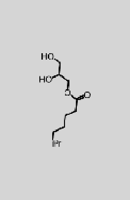 CC(C)CCCCC(=O)OCC(O)CO